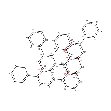 C1=CCCC(c2ccc(-c3ccccc3N(c3ccc(-c4ccccc4)cc3)c3cccc(-c4ccccc4)c3-c3ccccc3-c3ccccc3)cc2)=C1